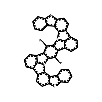 CC(C)c1c2c3cccc4c5ccc6oc7ccccc7c6c5n(c2c(C(C)C)c2c5cccc6c7ccc8oc9ccccc9c8c7n(c12)c65)c43